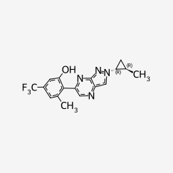 Cc1cc(C(F)(F)F)cc(O)c1-c1cnc2cn([C@@H]3C[C@H]3C)nc2n1